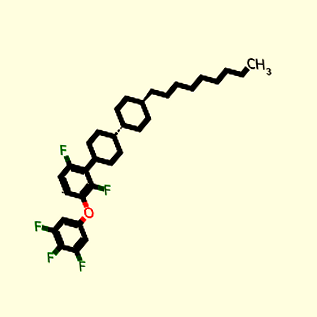 CCCCCCCCC[C@H]1CC[C@H](C2CCC(c3c(F)c[c]c(Oc4cc(F)c(F)c(F)c4)c3F)CC2)CC1